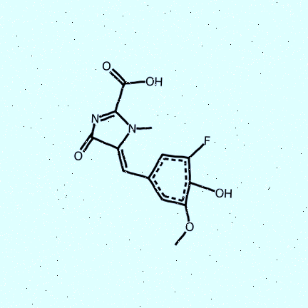 COc1cc(C=C2C(=O)N=C(C(=O)O)N2C)cc(F)c1O